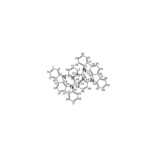 c1ccc(-n2c3ccccc3c3ccc4c5ccccc5n(-c5ccc(-n6c7ccccc7c7ccc8c9ccccc9n(-c9ccccc9)c8c76)cc5)c4c32)cc1